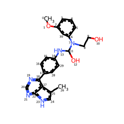 COc1cccc(N(CCO)C(O)Nc2ccc(-c3ncnc4[nH]cc(C)c34)cc2)c1